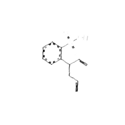 C=CCC(C=C)c1ccccc1S(=O)(=O)O